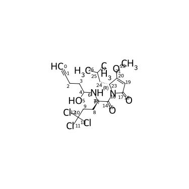 C#CCCC(O)N[C@H](CCC(Cl)(Cl)Cl)C(=O)N1C(=O)C=C(OC)[C@H]1CC(C)C